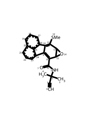 C#CC(C)(C)NC(=O)C1=C2C(=C(SC)C3OC13)c1cccc3cccc2c13